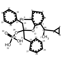 CC(C)c1cccc([C@H](C)C2CC2)c1OC(Cc1ccccc1)(Cc1ccccc1)OP(=O)(O)O